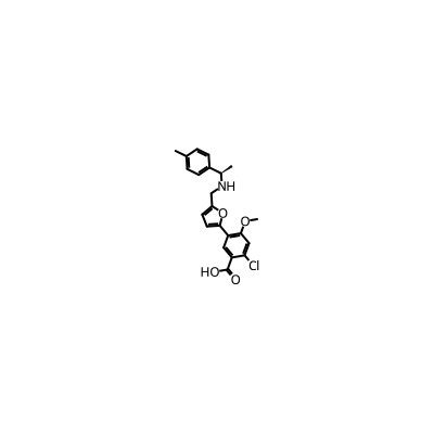 COc1cc(Cl)c(C(=O)O)cc1-c1ccc(CN[C@H](C)c2ccc(C)cc2)o1